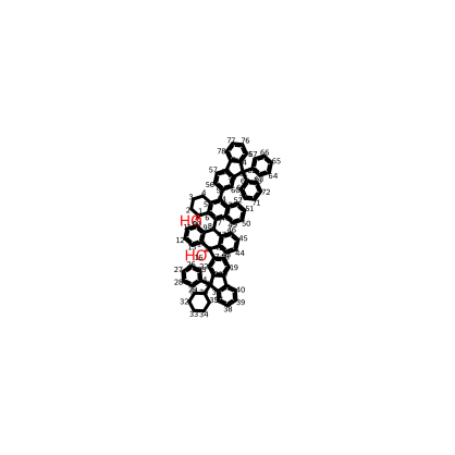 OC1CCCc2c1c(C1c3ccccc3C(O)(c3ccc4c(c3)C(c3ccccc3)(C3CCCCC3)c3ccccc3-4)c3ccccc31)c1ccccc1c2-c1ccc2c(c1)C(c1ccccc1)(c1ccccc1)c1ccccc1-2